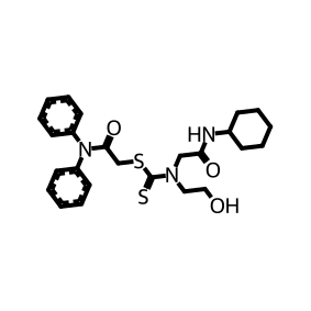 O=C(CN(CCO)C(=S)SCC(=O)N(c1ccccc1)c1ccccc1)NC1CCCCC1